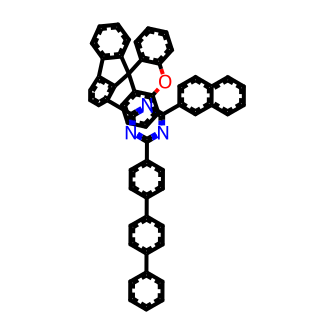 c1ccc(-c2ccc(-c3ccc(-c4nc(-c5ccc6ccccc6c5)nc(-c5cccc6c5C5(c7ccccc7Oc7ccccc75)c5ccccc5-6)n4)cc3)cc2)cc1